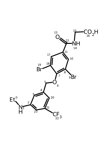 CCNc1cc(COc2c(Br)cc(C(=O)NCC(=O)O)cc2Br)cc(C(F)(F)F)c1